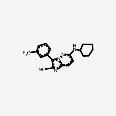 N#Cc1nc2ccc(NC3CCCCC3)nn2c1-c1cccc(C(F)(F)F)c1